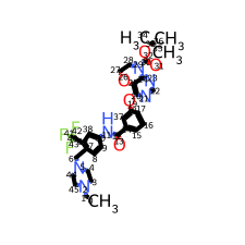 CCN1CCN(Cc2ccc(NC(=O)c3cccc(Oc4ncnc5c4OCCN5C(=O)OC(C)(C)C)c3)cc2C(F)(F)F)CC1